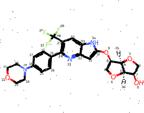 O[C@@H]1CO[C@H]2[C@@H]1OC[C@H]2Oc1cc2nc(-c3ccc(N4CCOCC4)cc3)c(C(F)(F)F)cc2[nH]1